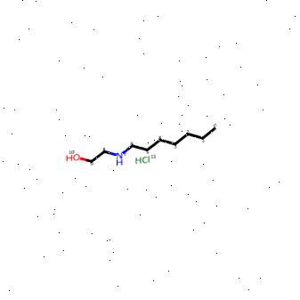 CCCCCCCNCCO.Cl